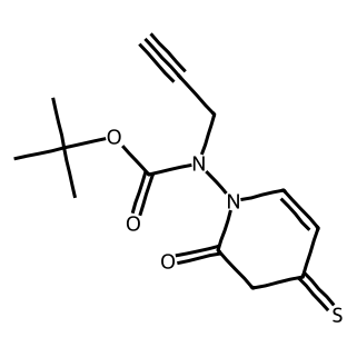 C#CCN(C(=O)OC(C)(C)C)N1C=CC(=S)CC1=O